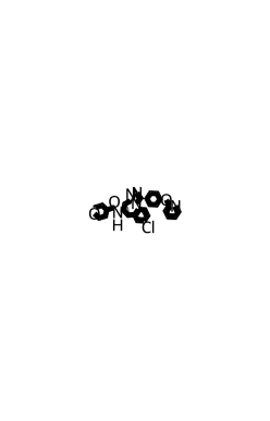 O=C(N[C@H]1Cc2cc(Cl)ccc2-n2c(nnc2[C@H]2CC[C@H](Oc3ccccn3)CC2)C1)C1CCOCC1